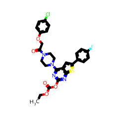 CCOC(=O)Oc1nc(N2CCN(C(=O)COc3ccc(Cl)cc3)CC2)c2cc(-c3ccc(F)cc3)sc2n1